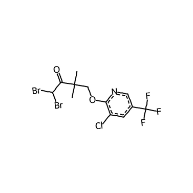 CC(C)(COc1ncc(C(F)(F)F)cc1Cl)C(=O)C(Br)Br